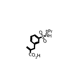 C=C(Cc1cccc(S(=O)(=O)NCCC)c1)C(=O)O